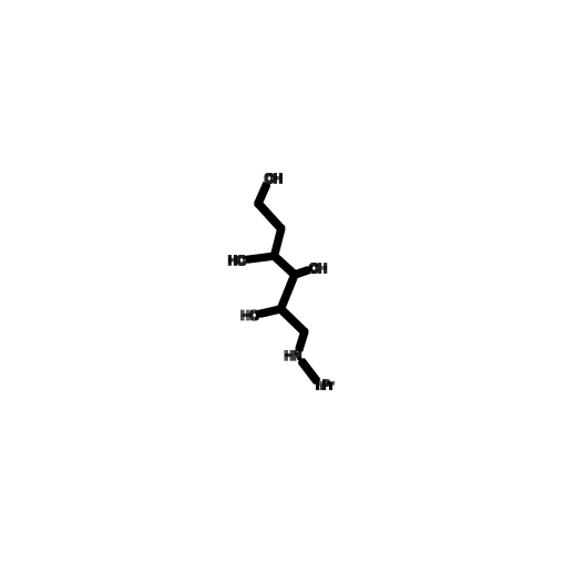 CCCNCC(O)C(O)C(O)CCO